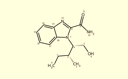 CC[C@@H](C)[C@@H](CO)n1c(C(N)=O)nc2ccccc21